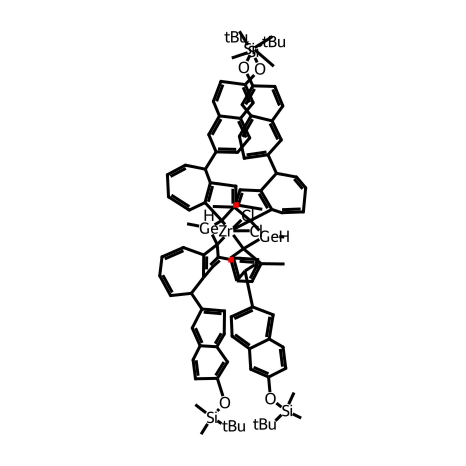 CC1=CC2=C(C=CC=CC2c2ccc3cc(O[Si](C)(C)C(C)(C)C)ccc3c2)[C]12[GeH]([CH3])[C]1(C(C)=CC3=C1C=CC=CC3c1ccc3cc(O[Si](C)(C)C(C)(C)C)ccc3c1)[Zr]21([Cl])([Cl])[C]2(C(C)=CC3=C2C=CC=CC3c2ccc3cc(O[Si](C)(C)C(C)(C)C)ccc3c2)[GeH]([CH3])[C]12C(C)=CC1=C2C=CC=CC1c1ccc2cc(O[Si](C)(C)C(C)(C)C)ccc2c1